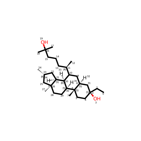 CC[C@]1(O)CC[C@@]2(C)[C@@H](CC([C@H](C)CCCC(C)(C)O)[C@@H]3[C@@H]4C[C@@H](C)C[C@]4(C)CC[C@@H]32)C1